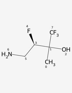 CC(O)([C@H](F)CN)C(F)(F)F